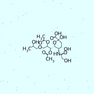 CC(=O)OC(COCC(C)O)C(OC(C)=O)[C@@H]1OC(O)(C(=O)O)C[C@H](O)[C@H]1NC(=O)CO